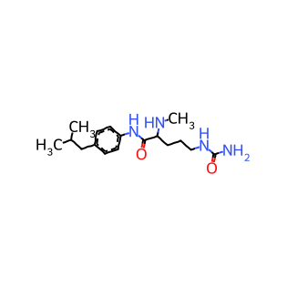 CNC(CCCNC(N)=O)C(=O)Nc1ccc(CC(C)C)cc1